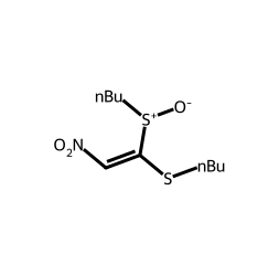 CCCCSC(=C[N+](=O)[O-])[S+]([O-])CCCC